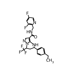 CCc1ccc(C2CC(C(F)(F)F)n3ncc(C(=O)NCc4ncc(F)cc4F)c3N2)cc1